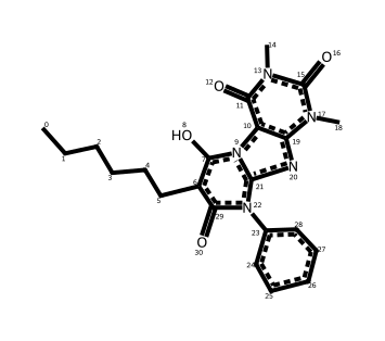 CCCCCCc1c(O)n2c3c(=O)n(C)c(=O)n(C)c3nc2n(-c2ccccc2)c1=O